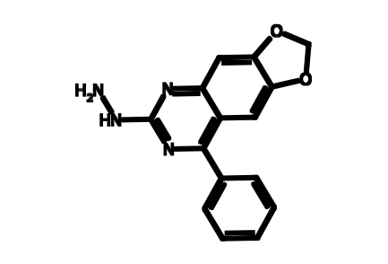 NNc1nc(-c2ccccc2)c2cc3c(cc2n1)OCO3